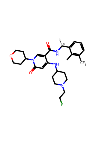 Cc1c([C@@H](C)NC(=O)c2cn(C3CCOCC3)c(=O)cc2NC2CCN(CCF)CC2)cccc1C(F)(F)F